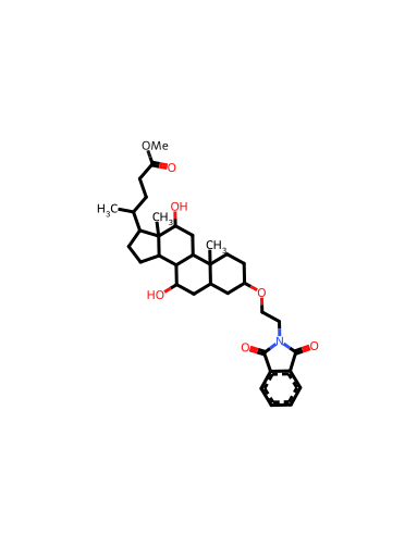 COC(=O)CCC(C)C1CCC2C3C(O)CC4CC(OCCN5C(=O)c6ccccc6C5=O)CCC4(C)C3CC(O)C12C